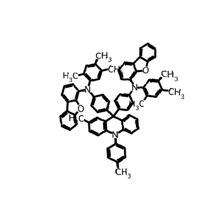 Cc1ccc(N2c3ccccc3C(c3ccc(N(c4cc(C)c(C)cc4C)c4cccc5c4oc4ccccc45)cc3)(c3ccc(N(c4cc(C)c(C)cc4C)c4cccc5c4oc4ccccc45)cc3)c3cc(C)ccc32)cc1